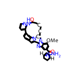 COc1cc(C(=O)N2[C@H]3CC[C@@H]2[C@H](N)C3)cc2nc(-c3cc4ccc5cc4n3CCCCCCC(=O)Nc3ncccc3-5)n(C)c12